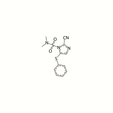 CN(C)S(=O)(=O)n1c(Sc2ccccc2)cnc1C#N